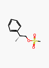 C[C@@H](COS(C)(=O)=O)c1ccccc1